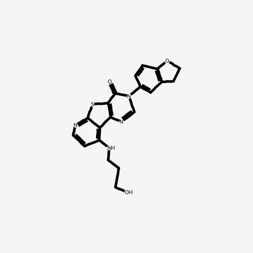 O=c1c2sc3nccc(NCCCO)c3c2ncn1-c1ccc2c(c1)CCO2